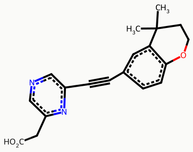 CC1(C)CCOc2ccc(C#Cc3cncc(CC(=O)O)n3)cc21